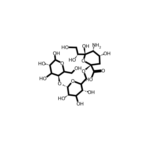 N[C@@H]1[C@H](O)C[C@](OCC2O[C@@H](O[C@@H]3C(CO)OC(O)[C@@H](O)C3O)[C@@H](O)C(O)[C@H]2O)(C(=O)O)O[C@]1(O)[C@H](O)CO